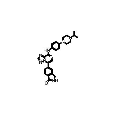 CC(C)N1CCN(c2ccc(Nc3ncc(-c4ccc5c(c4)CNC5=O)n4ncnc34)cc2)CC1